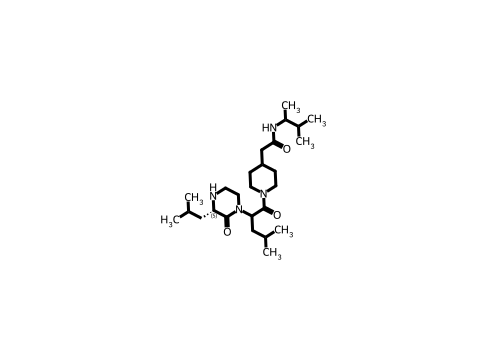 CC(C)CC(C(=O)N1CCC(CC(=O)NC(C)C(C)C)CC1)N1CCN[C@@H](CC(C)C)C1=O